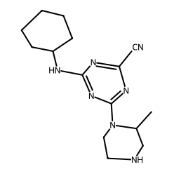 CC1CNCCN1c1nc(C#N)nc(NC2CCCCC2)n1